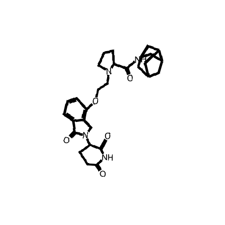 O=C1CCC(N2Cc3c(OCCN4CCCC4C(=O)NC4C5CC6CC(C5)C4C6)cccc3C2=O)C(=O)N1